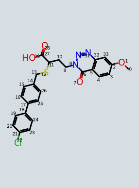 COc1ccc2c(=O)n(CCC(SCc3ccc(-c4ccc(Cl)cc4)cc3)C(=O)O)nnc2c1